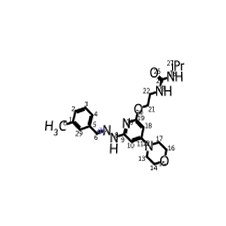 Cc1cccc(/C=N/Nc2cc(N3CCOCC3)cc(OCCNC(=O)NC(C)C)n2)c1